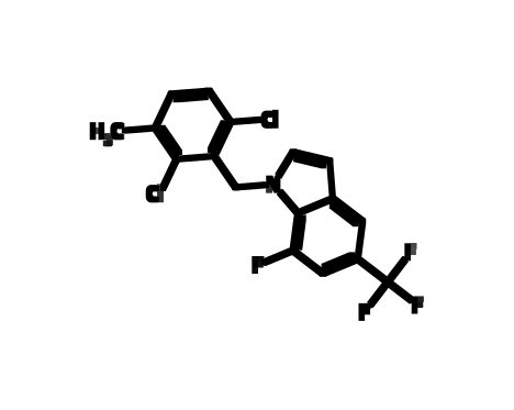 Cc1ccc(Cl)c(Cn2ccc3cc(C(F)(F)F)cc(F)c32)c1Cl